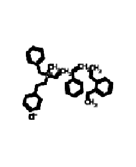 C=C[N+](C)(CCc1ccccc1)Cc1ccccc1.C=Cc1ccccc1.C=Cc1ccccc1C=C.[Cl-]